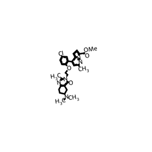 COC(=O)c1ccc2c(-c3cc(Cl)ccc3OCCn3c(C)nc4c(c3=O)CC(N(C)C)CC4)cc(C)nn12